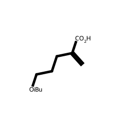 C=C(CCCOCC(C)C)C(=O)O